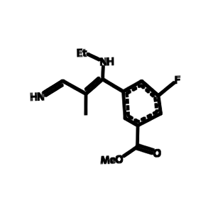 CCN/C(=C(/C)C=N)c1cc(F)cc(C(=O)OC)c1